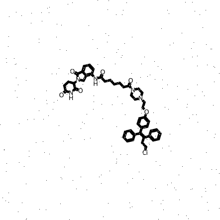 O=C1CCC(N2Cc3c(NC(=O)CCCCCC(=O)N4CCN(CCOc5ccc(/C(=C(/CCCl)c6ccccc6)c6ccccc6)cc5)CC4)cccc3C2=O)C(=O)N1